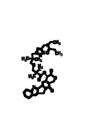 CCC(=O)N(CC)Cc1cn(CC(C)(C)COCC(C)(C)C(=O)O[C@@H]2C(=O)OCc3c2cc2n(c3=O)Cc3cc4ccccc4nc3-2)nn1